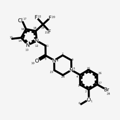 COc1cc(N2CCN(C(=O)Cn3nc(C)c(Cl)c3C(F)(F)F)CC2)ccc1Br